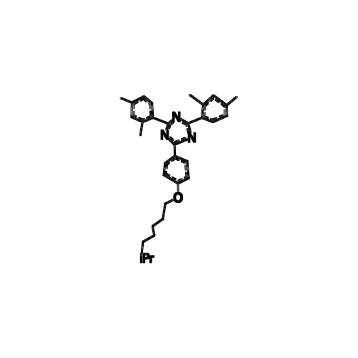 Cc1ccc(-c2nc(-c3ccc(OCCCCCC(C)C)cc3)nc(-c3ccc(C)cc3C)n2)c(C)c1